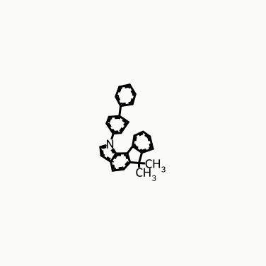 CC1(C)c2ccccc2-c2c1ccc1ccn(-c3ccc(-c4ccccc4)cc3)c21